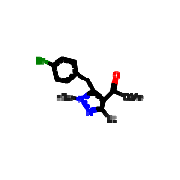 CCCCn1nc(CC)c(C(=O)OC)c1Cc1ccc(Br)cc1